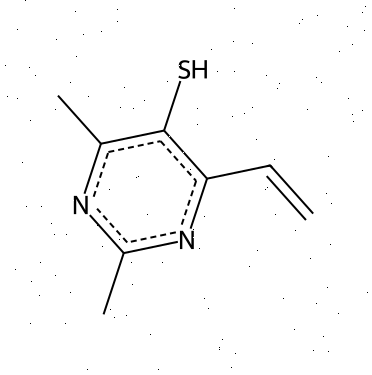 C=Cc1nc(C)nc(C)c1S